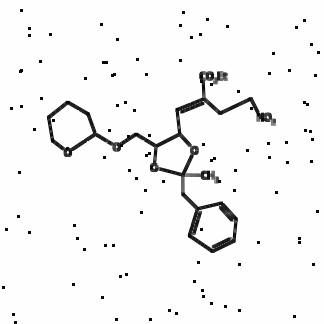 CCOC(=O)C(=CC1OC(C)(Cc2ccccc2)OC1COC1CCCCO1)CC[N+](=O)[O-]